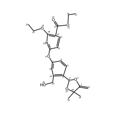 C=C1OB(c2ccc(Oc3ccc(C(=O)OCC)c(OCC)n3)cc2CO)OC1(C)C